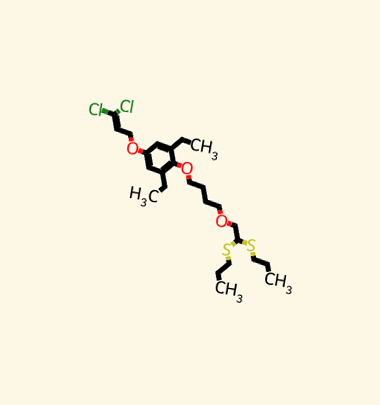 CCCSC(COCCCCOc1c(CC)cc(OCC=C(Cl)Cl)cc1CC)SCCC